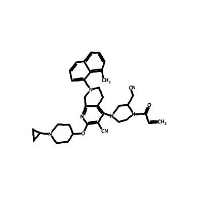 C=CC(=O)N1CCN(c2c(C#N)c(OC3CCN(C4CC4)CC3)nc3c2CCN(c2cccc4cccc(C)c24)C3)CC1CC#N